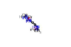 [C-]#[N+]N=C(C)N[C@H](C(=O)N1CCC[C@H]1c1ncc(-c2ccc(-c3ccc(-c4cnc([C@@H]5CCCN5C(=O)[C@@H](C)C(C)C)[nH]4)cc3)cc2)[nH]1)C(C)C